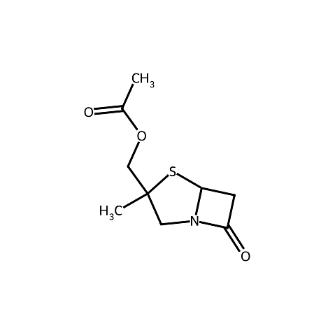 CC(=O)OCC1(C)CN2C(=O)CC2S1